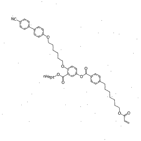 C=CC(=O)OCCCCCCCc1ccc(C(=O)Oc2ccc(OCCCCCCOc3ccc(-c4ccc(C#N)cc4)cc3)c(C(=O)OCCCCCCC)c2)cc1